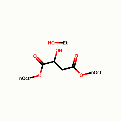 CCCCCCCCOC(=O)CC(O)C(=O)OCCCCCCCC.CCO